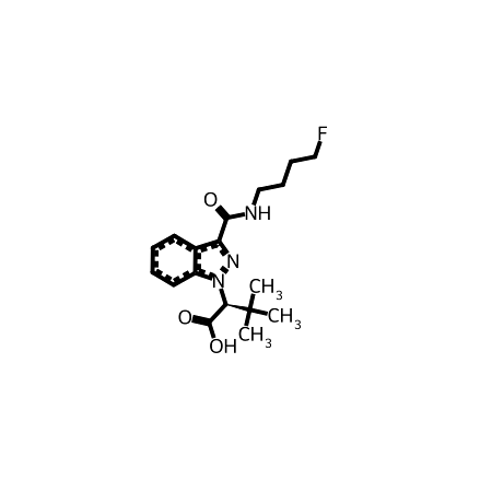 CC(C)(C)[C@@H](C(=O)O)n1nc(C(=O)NCCCCF)c2ccccc21